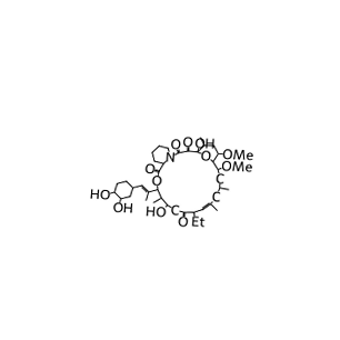 CCC1/C=C(/C)CC(C)CC(OC)C2OC(O)(C(=O)C(=O)N3CCCCC3C(=O)OC(/C(C)=C/C3CCC(O)C(O)C3)C(C)C(O)CC1=O)C(C)CC2OC